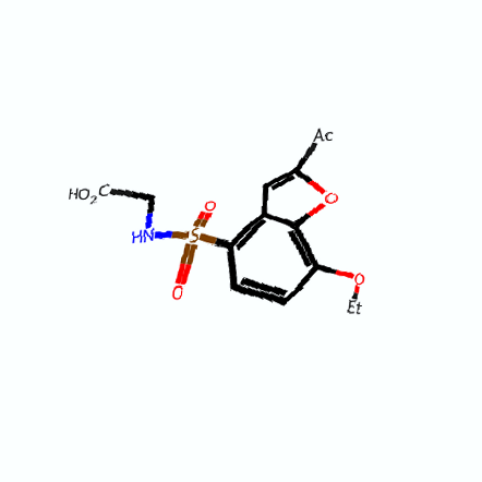 CCOc1ccc(S(=O)(=O)NCC(=O)O)c2cc(C(C)=O)oc12